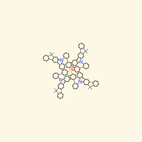 CC1(C)c2ccccc2-c2cc3c4ccccc4n(-c4ccccc4-c4ccc5c(c4)-c4cc(-c6ccccc6-n6c7ccccc7c7cc8c(cc76)C(C)(C)c6ccccc6-8)ccc4S54(=O)c5ccc(-c6ccccc6-n6c7ccccc7c7cc8c(cc76)C(C)(C)c6ccccc6-8)cc5-c5cc(-c6ccccc6-n6c7ccccc7c7cc8c(cc76)C(C)(C)c6ccccc6-8)ccc54)c3cc21